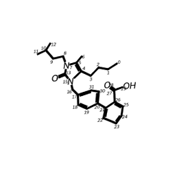 CCCCc1c(C)n(CCC(C)C)c(=O)n1Cc1ccc(-c2ccccc2C(=O)O)cc1